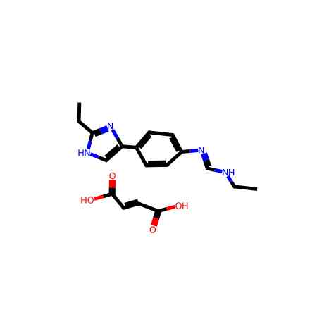 CCNC=Nc1ccc(-c2c[nH]c(CC)n2)cc1.O=C(O)C=CC(=O)O